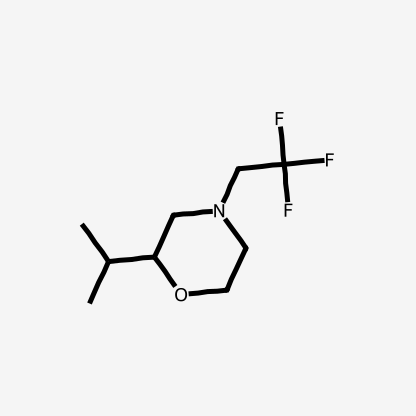 CC(C)C1CN(CC(F)(F)F)CCO1